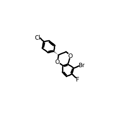 Fc1ccc2c(c1Br)OC[C@@H](c1ccc(Cl)cc1)O2